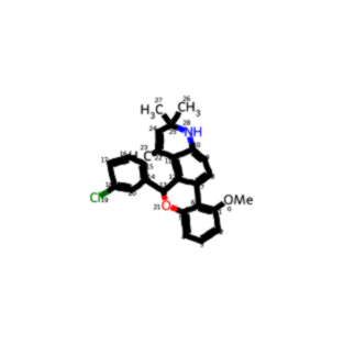 COc1cccc2c1-c1ccc3c(c1C(c1cccc(Cl)c1)O2)C(C)=CC(C)(C)N3